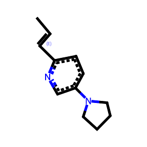 C/C=C/c1ccc(N2CCCC2)cn1